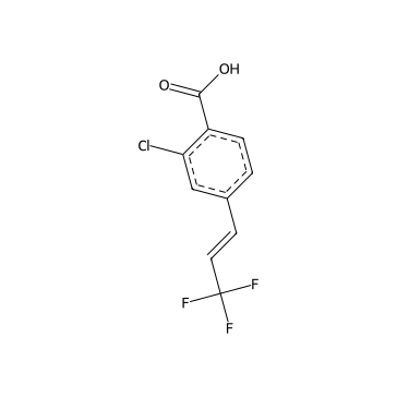 O=C(O)c1ccc(C=CC(F)(F)F)cc1Cl